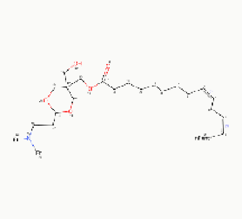 CCCCC/C=C\C/C=C\CCCCCCCC(=O)OCC1(CO)COC(CCN(CC)CC)OC1